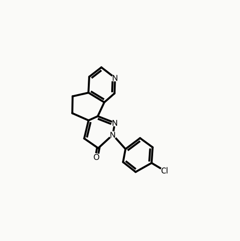 O=c1cc2c(nn1-c1ccc(Cl)cc1)-c1cnccc1CC2